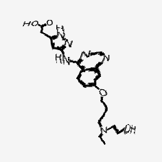 CCN(CCO)CCCOc1ccc2c(Nc3cc(CC(=O)O)[nH]n3)ncnc2c1